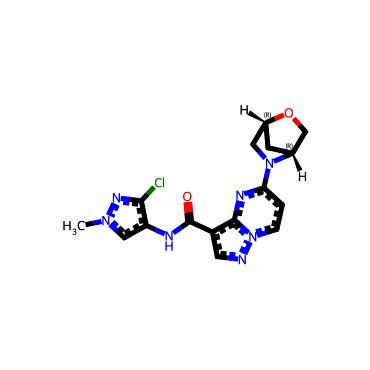 Cn1cc(NC(=O)c2cnn3ccc(N4C[C@H]5C[C@@H]4CO5)nc23)c(Cl)n1